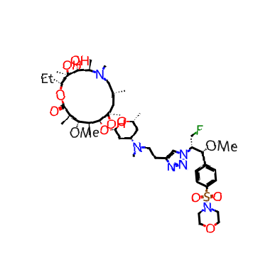 CC[C@H]1OC(=O)[C@H](C)[C@@H](OC)[C@H](C)[C@@H](O[C@H]2C[C@@H](N(C)CCc3cn([C@H](CF)[C@H](OC)c4ccc(S(=O)(=O)N5CCOCC5)cc4)nn3)C[C@@H](C)O2)[C@](C)(O)C[C@@H](C)CN(C)[C@H](C)[C@@H](O)[C@]1(C)O